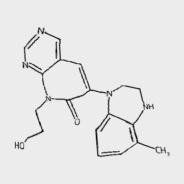 Cc1cccc2c1NCCN2c1cc2cncnc2n(CCO)c1=O